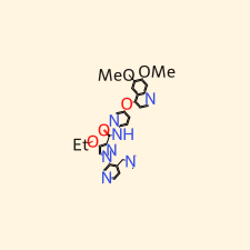 CCOc1cn(-c2cnccc2CN(C)C)nc1C(=O)Nc1ccc(Oc2ccnc3cc(OC)c(OC)cc23)cn1